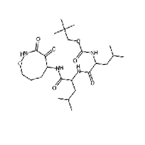 CC(C)CC(NC(=O)OCC(C)(C)C)C(=O)NC(CC(C)C)C(=O)NC1CCCONC(=O)C1=O